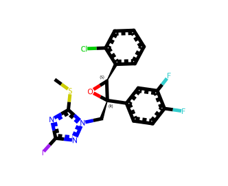 CSc1nc(I)nn1C[C@@]1(c2ccc(F)c(F)c2)O[C@H]1c1ccccc1Cl